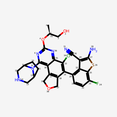 C[C@@H](CO)Oc1nc(N2C3CCC2CNC3)c2c3c(c(-c4ccc(F)c5sc(N)c(C#N)c45)c(Cl)c2n1)COC3